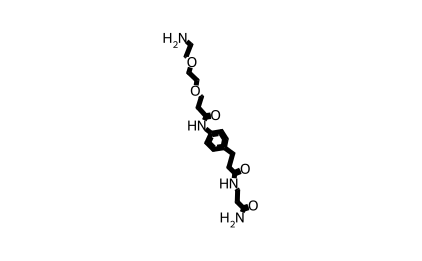 NCCOCCOCCC(=O)Nc1ccc(CCC(=O)NCCC(N)=O)cc1